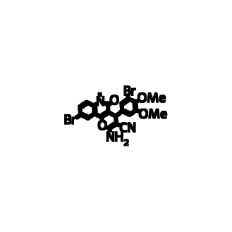 COc1cc(C2C(C#N)=C(N)Oc3c2c(=O)n(C)c2ccc(Br)cc32)cc(Br)c1OC